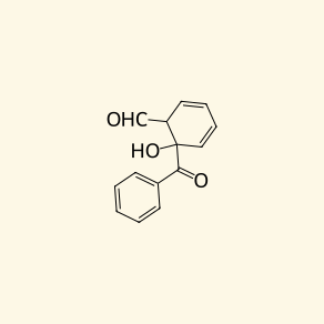 O=CC1C=CC=CC1(O)C(=O)c1ccccc1